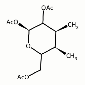 CC(=O)OCC1O[C@@H](OC(C)=O)C(OC(C)=O)[C@@H](C)[C@H]1C